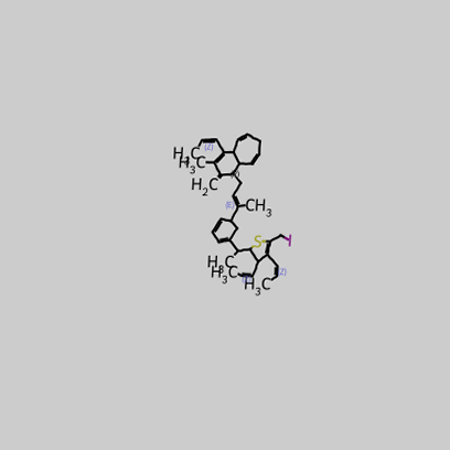 C=C1C(C)=C(/C=C\C)C2C=CCC=CC2[C@H]1C/C=C(\C)C1C=CC=C(C(C)C2SC(CI)=C(/C=C\C)C2/C=C\C)C1